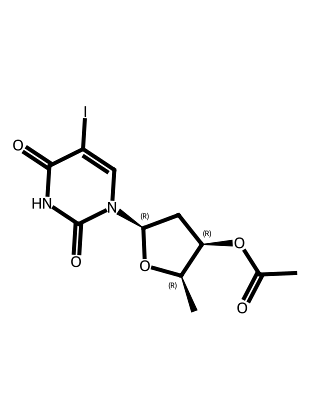 CC(=O)O[C@@H]1C[C@H](n2cc(I)c(=O)[nH]c2=O)O[C@@H]1C